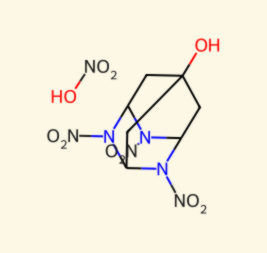 O=[N+]([O-])N1C2CC3(O)CC1N([N+](=O)[O-])C(C3)N2[N+](=O)[O-].O=[N+]([O-])O